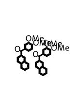 COc1ccc(C(=O)c2ccc3ccccc3c2)cc1OC.COc1ccc(C(=O)c2ccc3ccccc3c2)cc1OC